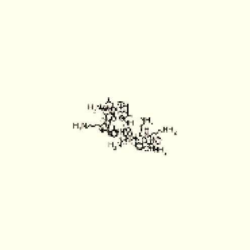 CC(C)C[C@H](NC(=O)[C@H](CC(N)=O)NC(=O)[C@H](Cc1ccccc1)NC(=O)[C@@H](N)CCCCN)C(=O)N1CCC[C@H]1C(=O)N[C@@H](C)C(=O)NCC(=O)N[C@@H](CC(N)=O)C(=O)N[C@@H](Cc1ccc(O)cc1)C(=O)N[C@@H](CCCCN)C(=O)N[C@@H](CCCCN)C(=O)N1CCC[C@H]1C(N)=O